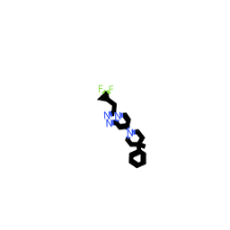 CC1(c2ccccc2)CCN(c2ccn3c(CC4CC4(F)F)nnc3c2)CC1